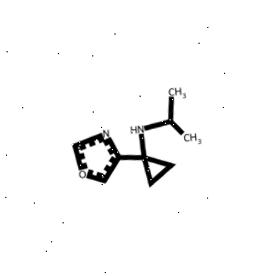 CC(C)NC1(c2cocn2)CC1